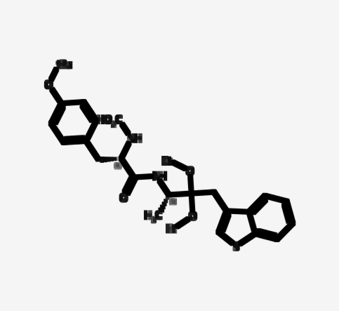 CCOC(Cc1csc2ccccc12)(OCC)[C@H](C)NC(=O)[C@H](Cc1ccc(OC(C)(C)C)cc1)NC(=O)O